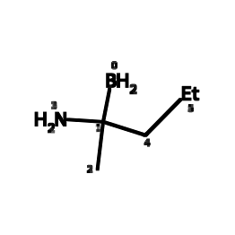 BC(C)(N)CCC